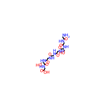 NCC(=O)NCC(=O)N[C@@H](CO)C(=O)NCC(=O)NCC(=O)NCC(=O)N[C@@H](CO)C(=O)NCC(=O)O